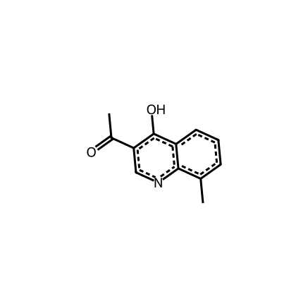 CC(=O)c1cnc2c(C)cccc2c1O